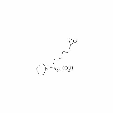 O=C(O)C=C(CCC=CC1CO1)N1CCCC1